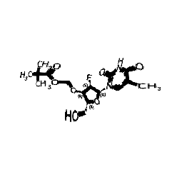 Cc1cn([C@@H]2O[C@H](CO)[C@@H](OCOC(=O)C(C)(C)C)[C@@H]2F)c(=O)[nH]c1=O